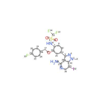 Cn1nc(-c2ccc(NS(=O)(=O)C(F)F)c(OCc3ccc(F)cc3)c2)c2c(N)ncc(I)c21